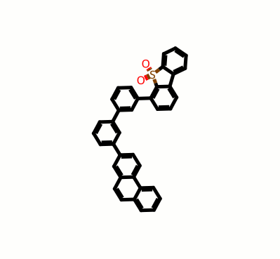 O=S1(=O)c2ccccc2-c2cccc(-c3cccc(-c4cccc(-c5ccc6c(ccc7ccccc76)c5)c4)c3)c21